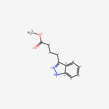 COC(=O)CCCc1n[nH]c2ccccc12